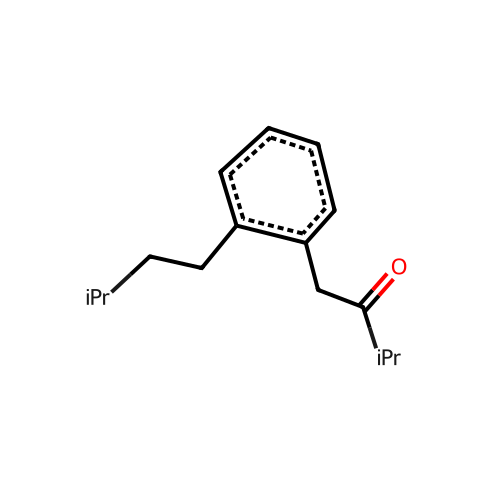 CC(C)CCc1ccccc1CC(=O)C(C)C